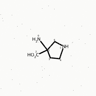 NC1(C(=O)O)CCNC1